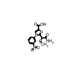 COC(C(N)=O)c1nc(C(=O)O)cn1-c1cccc([N+](=O)[O-])c1